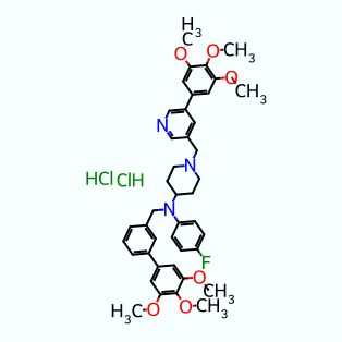 COc1cc(-c2cncc(CN3CCC(N(Cc4cccc(-c5cc(OC)c(OC)c(OC)c5)c4)c4ccc(F)cc4)CC3)c2)cc(OC)c1OC.Cl.Cl